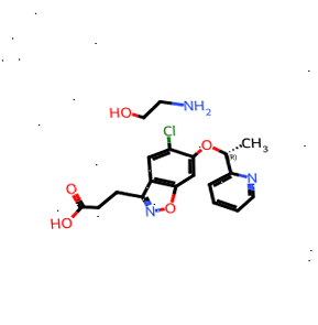 C[C@@H](Oc1cc2onc(CCC(=O)O)c2cc1Cl)c1ccccn1.NCCO